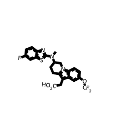 CN(c1nc2ccc(F)cc2s1)C1CCc2c(CC(=O)O)c3cc(OC(F)(F)F)ccc3n2C1